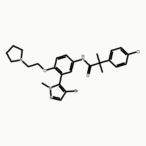 Cn1ncc(Br)c1-c1cc(NC(=O)C(C)(C)c2ccc(Cl)cc2)ccc1OCCN1CCCC1